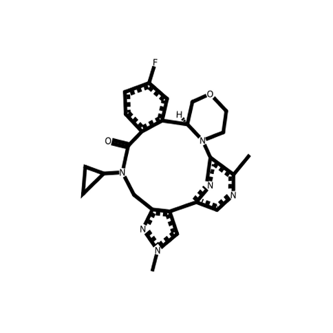 Cc1ncc2nc1N1CCOC[C@@H]1c1cc(F)ccc1C(=O)N(C1CC1)Cc1nn(C)cc1-2